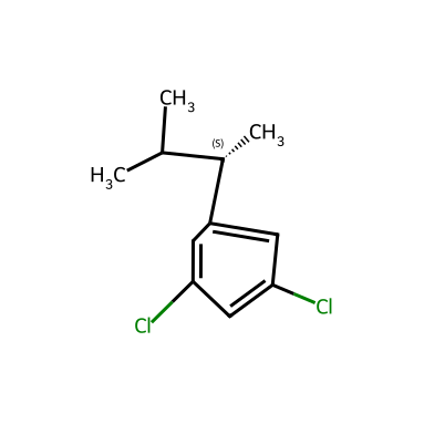 CC(C)[C@H](C)c1cc(Cl)cc(Cl)c1